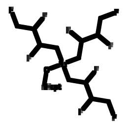 CCCCCCC[O][Sn]([CH2]C(F)C(F)CF)([CH2]C(F)C(F)CF)[CH2]C(F)C(F)CF